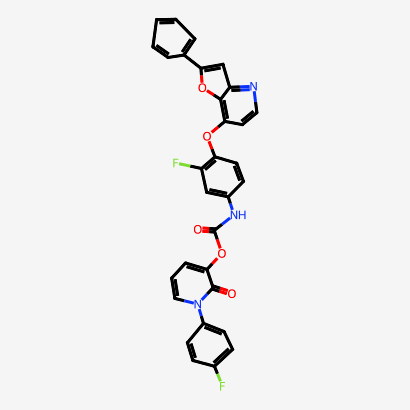 O=C(Nc1ccc(Oc2ccnc3cc(-c4ccccc4)oc23)c(F)c1)Oc1cccn(-c2ccc(F)cc2)c1=O